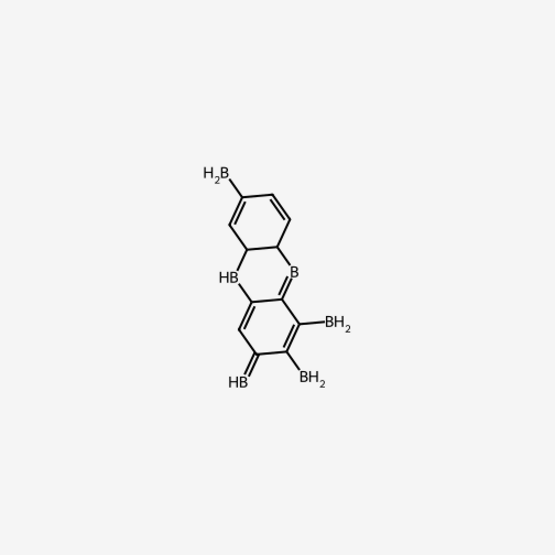 B=c1cc2c(c(B)c1B)=BC1C=CC(B)=CC1B2